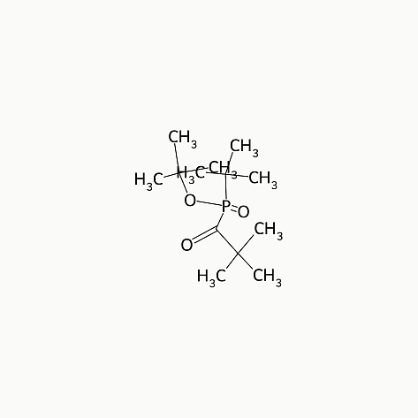 CC(C)(C)OP(=O)(C(=O)C(C)(C)C)C(C)(C)C